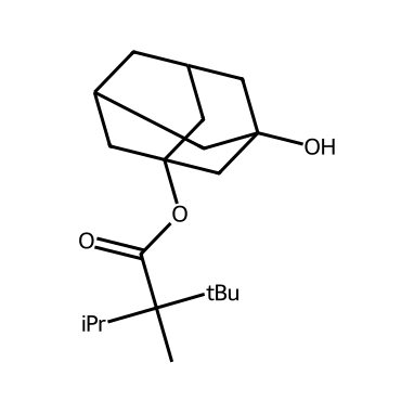 CC(C)C(C)(C(=O)OC12CC3CC(CC(O)(C3)C1)C2)C(C)(C)C